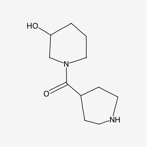 O=C(C1CCNCC1)N1CCCC(O)C1